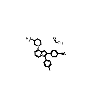 Cc1ccc(-c2c(-c3ccc(C#N)cc3)cc3c(N4CCCC(N)C4)cccn23)cc1.O=CO